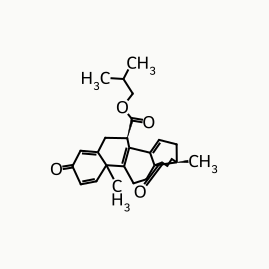 CC(C)COC(=O)[C@@H]1CC2=CC(=O)C=CC2(C)C2=C1C1=CC[C@@]3(C)CCC(=O)C13CC2